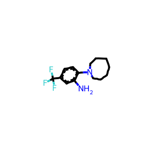 Nc1cc(C(F)(F)F)ccc1N1CCCCCCC1